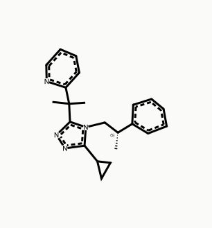 C[C@H](Cn1c(C2CC2)nnc1C(C)(C)c1ccccn1)c1ccccc1